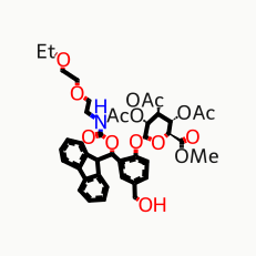 CCOCCOCCNC(=O)OC(c1cc(CO)ccc1O[C@@H]1O[C@H](C(=O)OC)[C@@H](OC(C)=O)[C@H](OC(C)=O)[C@H]1OC(C)=O)C1c2ccccc2-c2ccccc21